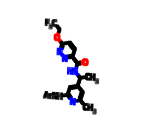 CC(=O)Nc1cc(C(C)NC(=O)c2ccc(OCC(F)(F)F)nn2)cc(C)n1